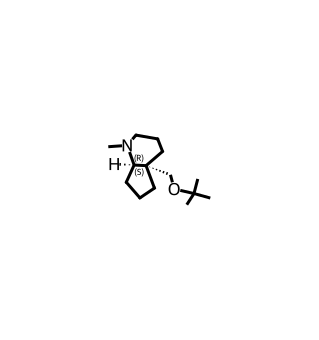 CN1CCC[C@@]2(COC(C)(C)C)CCC[C@@H]12